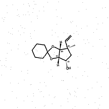 C=C[C@@]1(C)C[C@H](O)[C@@H]2OC3(CCCCC3)O[C@@H]21